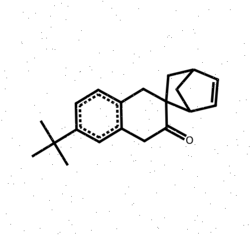 CC(C)(C)c1ccc2c(c1)CC(=O)C1(C2)CC2C=CC1C2